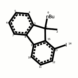 CCCCC1(C)c2ccccc2-c2cccc(I)c21